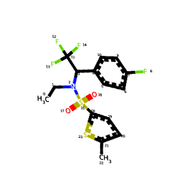 CCN(C(c1ccc(F)cc1)C(F)(F)F)S(=O)(=O)c1ccc(C)s1